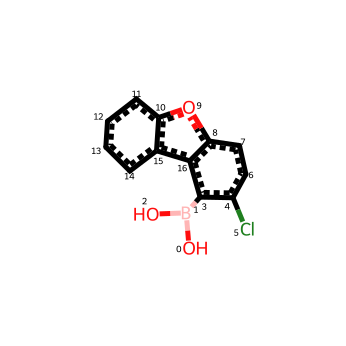 OB(O)c1c(Cl)ccc2oc3ccccc3c12